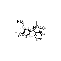 CCNCc1cc(-c2n[nH]c(=O)c3c2NCCC3)ccc1C(F)(F)F